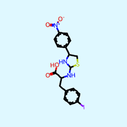 O=C(O)C(Cc1ccc(I)cc1)NC1NC(c2ccc([N+](=O)[O-])cc2)CS1